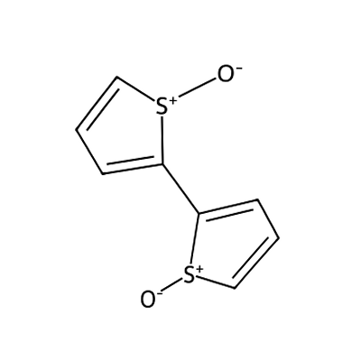 [O-][s+]1cccc1-c1ccc[s+]1[O-]